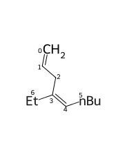 C=CCC(=CCCCC)CC